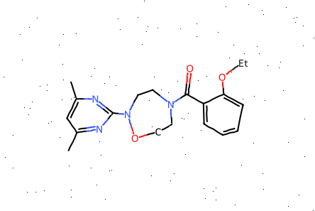 CCOc1ccccc1C(=O)N1CCON(c2nc(C)cc(C)n2)CC1